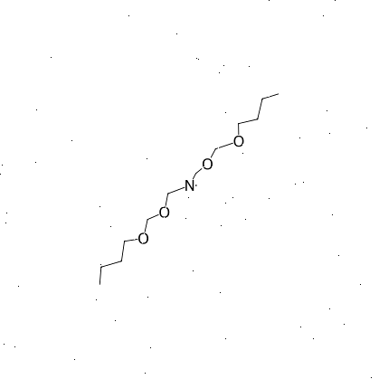 CCCCOCOC[N]COCOCCCC